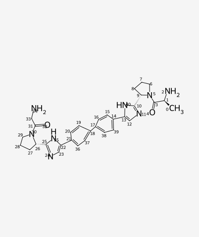 C[C@H](N)C(=O)N1CCC[C@H]1c1ncc(-c2ccc(-c3ccc(-c4cnc([C@@H]5CCCN5C(=O)CN)[nH]4)cc3)cc2)[nH]1